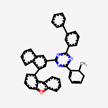 CC1CC=CC=C1c1nc(-c2cccc(-c3ccccc3)c2)nc(-c2cc(-c3cccc4oc5ccccc5c34)c3ccccc3c2)n1